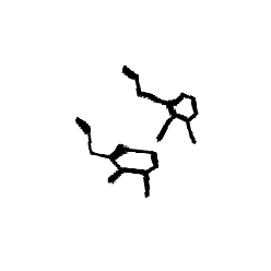 C=CCc1cccc(C)c1C.C=CCc1cccc(C)c1C